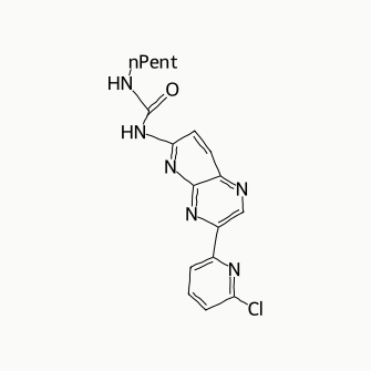 CCCCCNC(=O)Nc1ccc2ncc(-c3cccc(Cl)n3)nc2n1